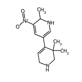 CC1NC=C(C2=CCNCC2(C)C)C=C1[N+](=O)[O-]